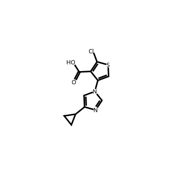 O=C(O)c1c(-n2cnc(C3CC3)c2)csc1Cl